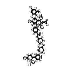 Cc1c(=O)n(C)c(Nc2ccc(I)cc2F)c2c(=O)n(C3CC3)c(=O)n(-c3cccc(NCC4CCN(CC5CCN(c6cc(C7CCC(=O)NC7=O)ccn6)CC5)CC4)c3)c12